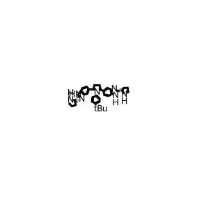 CC(C)(C)c1ccc(N2C(c3ccc4[nH]c([C@@H]5CCCN5)nc4c3)CCC2c2ccc3[nH]c([C@@H]4CCCN4)nc3c2)cc1